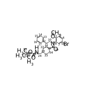 COc1ccc(Br)cc1N(CCc1ccccc1)C(=O)C1CCC(CNC(=O)OC(C)(C)C)CC1